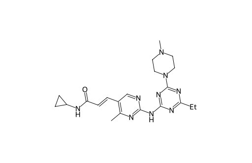 CCc1nc(Nc2ncc(/C=C/C(=O)NC3CC3)c(C)n2)nc(N2CCN(C)CC2)n1